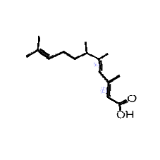 CC(C)=CCCC(C)/C(C)=C/C(C)=C/C(=O)O